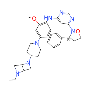 CCN1CC2C1CN2C1CCN(c2ccc(Nc3cc(N4OCC[C@@H]4c4ccccc4)ncn3)c(OC)c2)CC1